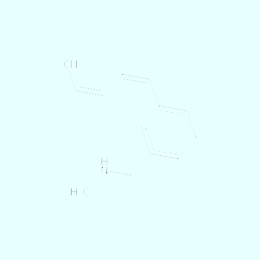 C/C=C\C=C/c1cccc(CNC)c1